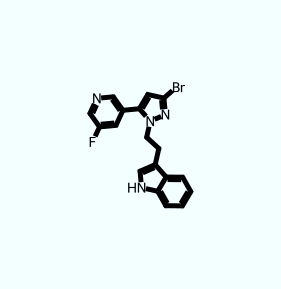 Fc1cncc(-c2cc(Br)nn2CCc2c[nH]c3ccccc23)c1